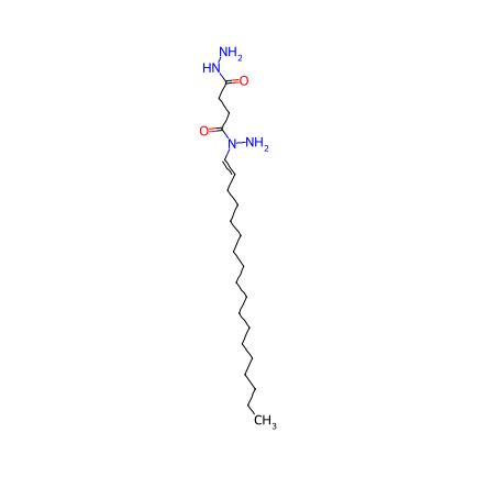 CCCCCCCCCCCCCCCCC=CN(N)C(=O)CCC(=O)NN